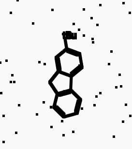 CC(C)(C)c1ccc2c(c1)Cc1[c]cccc1-2